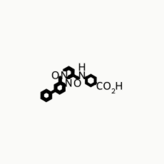 O=C(NC1CCC(C(=O)O)CC1)c1cccn2c(=O)c3cc(-c4ccccc4)ccc3nc12